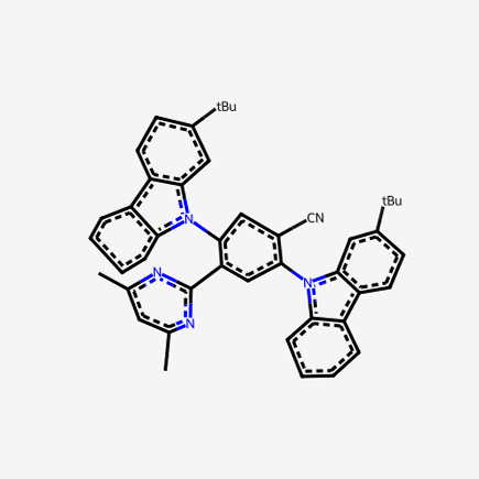 Cc1cc(C)nc(-c2cc(-n3c4ccccc4c4ccc(C(C)(C)C)cc43)c(C#N)cc2-n2c3ccccc3c3ccc(C(C)(C)C)cc32)n1